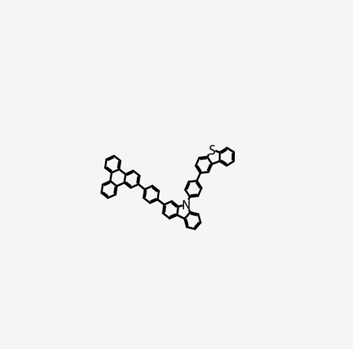 c1ccc2c(c1)sc1ccc(-c3ccc(-n4c5ccccc5c5ccc(-c6ccc(-c7ccc8c9ccccc9c9ccccc9c8c7)cc6)cc54)cc3)cc12